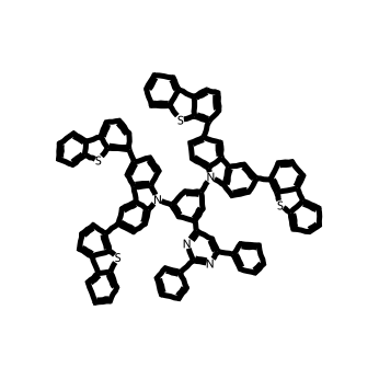 c1ccc(-c2cc(-c3cc(-n4c5ccc(-c6cccc7c6sc6ccccc67)cc5c5cc(-c6cccc7c6sc6ccccc67)ccc54)cc(-n4c5ccc(-c6cccc7c6sc6ccccc67)cc5c5cc(-c6cccc7c6sc6ccccc67)ccc54)c3)nc(-c3ccccc3)n2)cc1